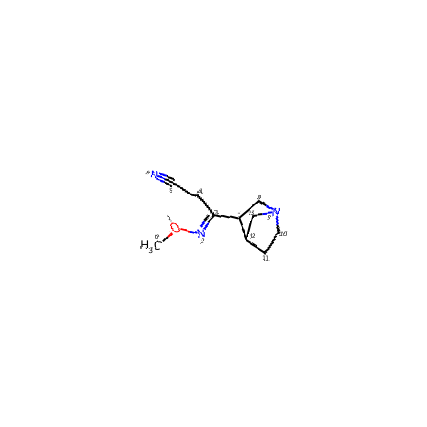 CON=C(CC#N)C1CN2CCC1C2